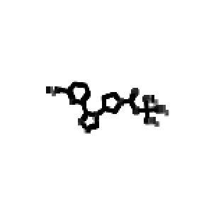 CC(C)(C)OC(=O)N1CC[C@H](n2cnnc2-c2cccc(N)n2)C1